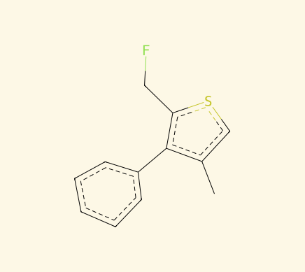 Cc1csc(CF)c1-c1ccccc1